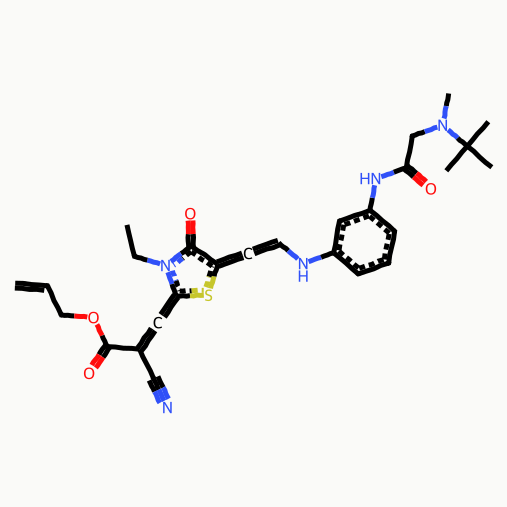 C=CCOC(=O)C(=C=c1sc(=C=CNc2cccc(NC(=O)CN(C)C(C)(C)C)c2)c(=O)n1CC)C#N